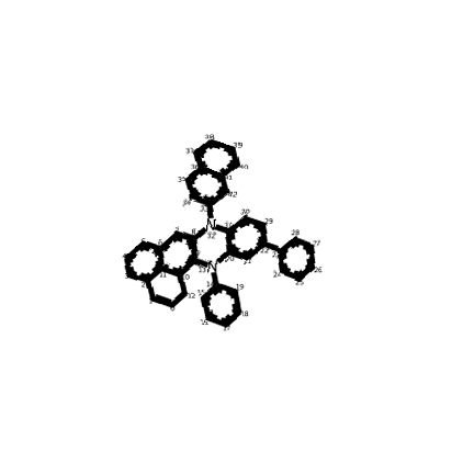 C1=Cc2cccc3cc4c(c(c23)C1)N(c1ccccc1)c1cc(-c2ccccc2)ccc1N4c1ccc2ccccc2c1